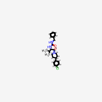 CC(C)[C@@H](NC(=O)NCc1ccccc1)C(=O)N1CCC(c2ccc(Cl)cc2)CC1